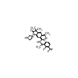 Cc1nnc(N[C@H](C)c2cccc(C(F)F)c2F)c2cc3c(cc12)C(C)(C)C(=O)N3[C@H]1CCNC1